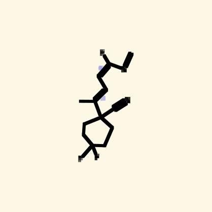 C=N/C(F)=C\C=C(/C)C1(C#N)CCC(F)(F)CC1